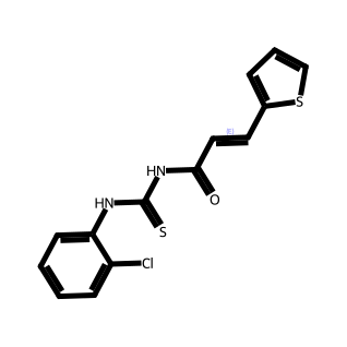 O=C(/C=C/c1cccs1)NC(=S)Nc1ccccc1Cl